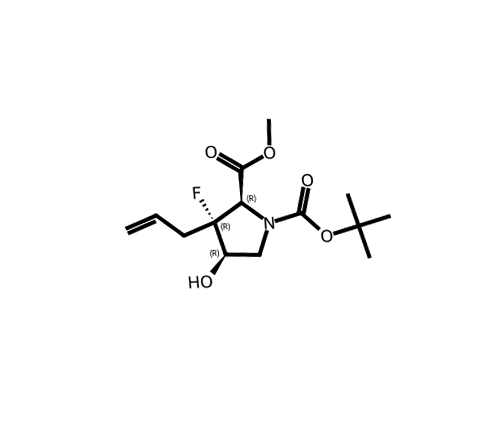 C=CC[C@]1(F)[C@H](O)CN(C(=O)OC(C)(C)C)[C@@H]1C(=O)OC